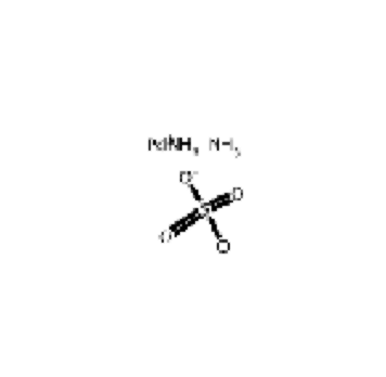 N.N.O=S(=O)([O-])[O-].[Pd+2]